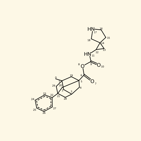 CC12CC3CC(C(=O)OC(=O)NC4CC45CCNC5)(C1)CC(c1ccccc1)(C3)C2